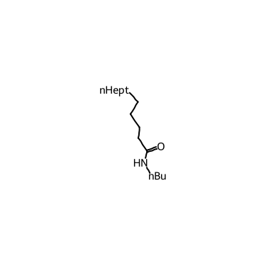 [CH2]CCCNC(=O)CCCCCCCCCCC